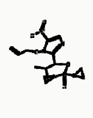 C=CCCn1c([N+](=O)[O-])cnc1C(OP(=O)(N1CC1)N1CC1)C(C)C